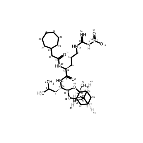 CC(C)C[C@H](NC(=O)[C@H](CCCNC(=N)N[N+](=O)[O-])NC(=O)CC1CCCCCC1)B1O[C@@H]2C[C@@H]3C[C@@H](C3(C)C)[C@]2(C)O1